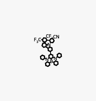 N#Cc1ccc(-n2c3ccccc3c3cc(-c4cc5c6c(c4)N(c4ccccc4)c4ccccc4B6c4ccccc4N5c4ccccc4)ccc32)c(-c2ccc(C(F)(F)F)cc2C(F)(F)F)c1